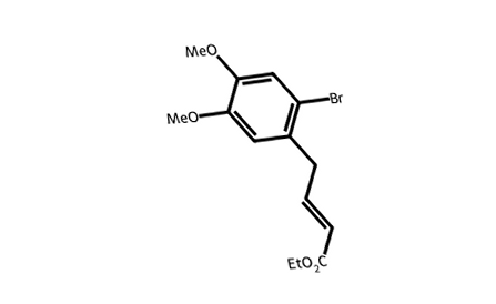 CCOC(=O)/C=C/Cc1cc(OC)c(OC)cc1Br